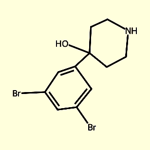 OC1(c2cc(Br)cc(Br)c2)CCNCC1